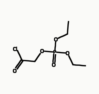 CCOP(=O)(OCC)OCC(=O)Cl